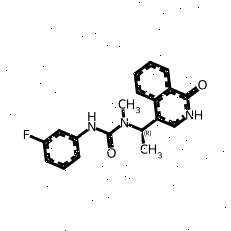 C[C@H](c1c[nH]c(=O)c2ccccc12)N(C)C(=O)Nc1cccc(F)c1